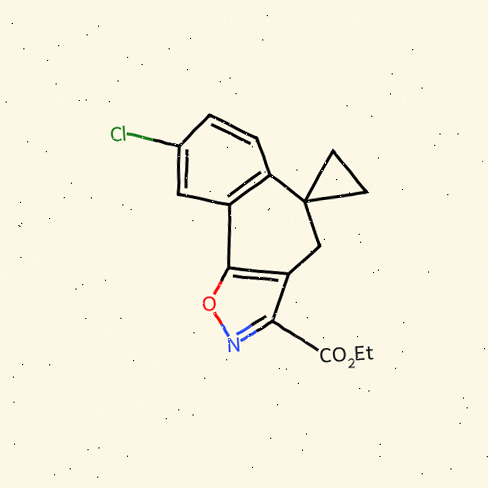 CCOC(=O)c1noc2c1CC1(CC1)c1ccc(Cl)cc1-2